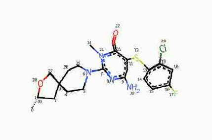 C[C@H]1CC2(CCN(c3nc(N)c(Sc4ccc(F)cc4Cl)c(=O)n3C)CC2)CO1